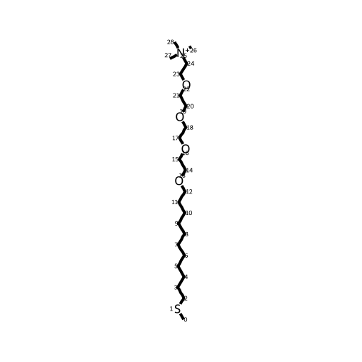 CSCCCCCCCCCCCOCCOCCOCCOCC[N+](C)(C)C